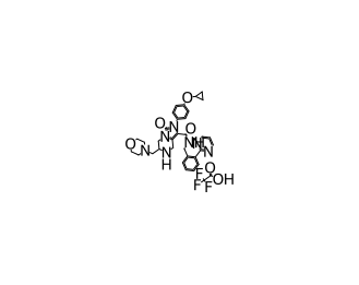 O=C(NCc1ccccc1-c1ncccn1)c1c2n(c(=O)n1-c1ccc(OC3CC3)cc1)CC(CN1CCOCC1)NC2.O=C(O)C(F)(F)F